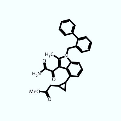 COC(=O)CC1CC1c1cccc2c1c(C(=O)C(N)=O)c(C)n2Cc1ccccc1-c1ccccc1